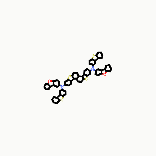 c1ccc2c(c1)oc1ccc(N(c3ccc4c(c3)sc3ccc5c(ccc6sc7cc(N(c8ccc9oc%10ccccc%10c9c8)c8ccc9sc%10ccccc%10c9c8)ccc7c65)c34)c3ccc4sc5ccccc5c4c3)cc12